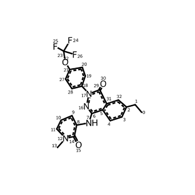 CCc1ccc2c(Nc3cccn(C)c3=O)nn(-c3ccc(OC(F)(F)F)cc3)c(=O)c2c1